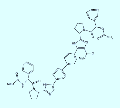 CNC(=O)c1nc([C@@H]2CCCN2C(=O)[C@H](OC(N)=O)c2ccccc2)[nH]c1-c1ccc(-c2ccc(-c3cnc([C@@H]4CCCN4C(=O)[C@H](NC(=O)OC)c4ccccc4)[nH]3)cc2)cc1